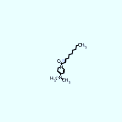 CCCCCCC/C=C/C(=O)N1C=CC(N(C)C)=CC1